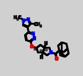 Cc1nn(C)cc1-c1ccc(O[C@H]2C[C@@H]3CN(C(=O)C45CC6CC(CC(C6)C4)C5)C[C@@H]3C2)nn1